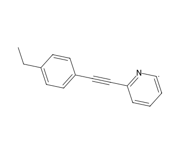 CCc1ccc(C#Cc2ccc[c]n2)cc1